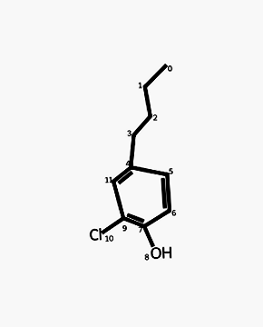 CCCCc1ccc(O)c(Cl)c1